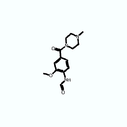 COc1cc(C(=O)N2CCN(C)CC2)ccc1NC=O